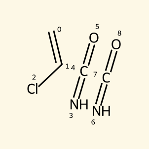 C=CCl.N=C=O.N=C=O